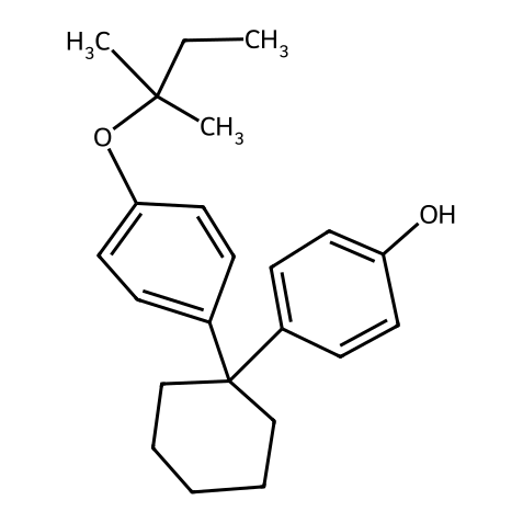 CCC(C)(C)Oc1ccc(C2(c3ccc(O)cc3)CCCCC2)cc1